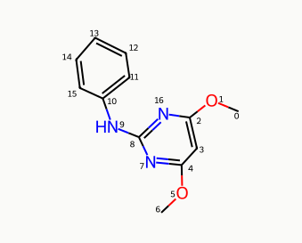 COc1cc(OC)nc(Nc2ccccc2)n1